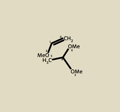 C=COC.COC(C)OC